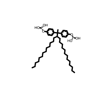 CCCCCCCCCCCCCC(CCCCCCCCCCCCC)C(C)(c1ccc(OP(O)O)cc1)c1ccc(OP(O)O)cc1